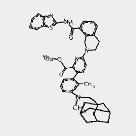 Cc1c(-c2ccc(N3CCc4cccc(C(=O)Nc5nc6ccccc6s5)c4C3)nc2C(=O)OC(C)(C)C)cccc1N(C)CC12CC3CC(CC(C3)C1)C2